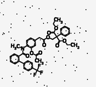 CCOC(=O)C(COC(=O)Cc1ccc(N(C)C(=O)c2ccccc2-c2ccc(C(F)(F)F)cc2)c(OC(C)=O)c1)(C(=O)OCC)c1ccccc1